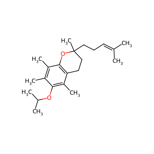 CC(C)=CCCC1(C)CCc2c(C)c(OC(C)C)c(C)c(C)c2O1